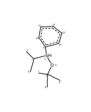 CC(C)[SiH](OC(C)(C)C)c1ccccc1